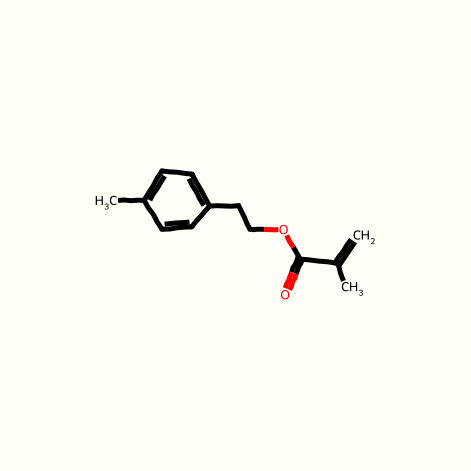 C=C(C)C(=O)OCCc1ccc(C)cc1